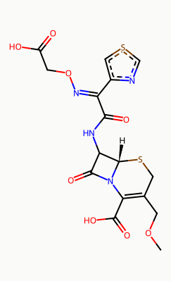 COCC1=C(C(=O)O)N2C(=O)C(NC(=O)C(=NOCC(=O)O)c3cscn3)[C@@H]2SC1